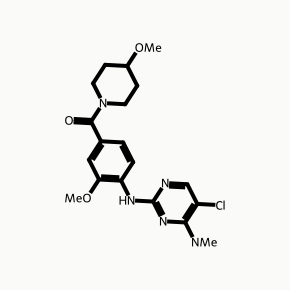 CNc1nc(Nc2ccc(C(=O)N3CCC(OC)CC3)cc2OC)ncc1Cl